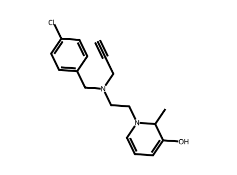 C#CCN(CCN1C=CC=C(O)C1C)Cc1ccc(Cl)cc1